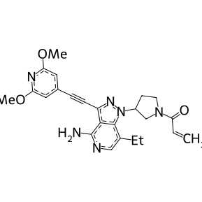 C=CC(=O)N1CCC(n2nc(C#Cc3cc(OC)nc(OC)c3)c3c(N)ncc(CC)c32)C1